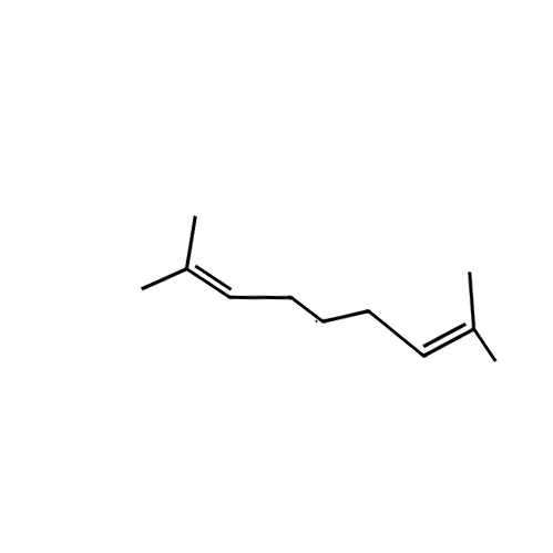 CC(C)=CC[CH]CC=C(C)C